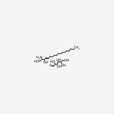 CCCCCCCCCCCCC/C=C/C(O)C(N)CO.O=CC(O)C(O)C(O)C(O)CO